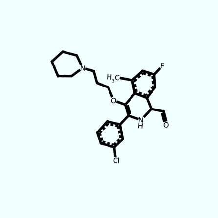 Cc1cc(F)cc2c1C(OCCCN1CCCCC1)=C(c1cccc(Cl)c1)NC2C=O